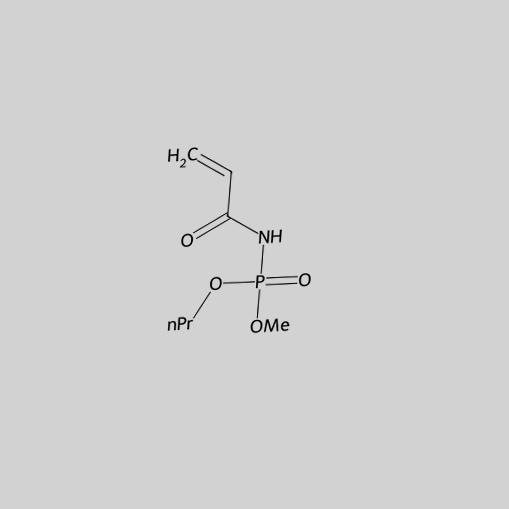 C=CC(=O)NP(=O)(OC)OCCC